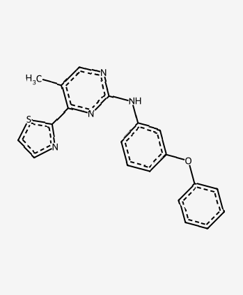 Cc1cnc(Nc2cccc(Oc3ccccc3)c2)nc1-c1nccs1